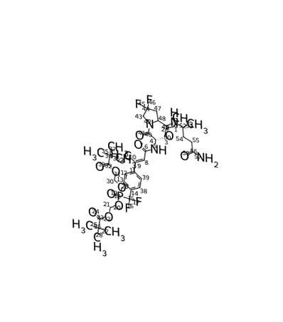 CCCC[C@H](NC(=O)/C=C(\C)c1ccc(C(F)(F)P(=O)(OCOC(=O)C(C)(C)C)OCOC(=O)C(C)(C)C)cc1)C(=O)N1CC(F)(F)CC1C(=O)NC(C)CCC(N)=O